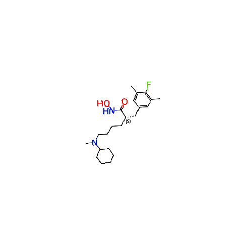 Cc1cc(C[C@H](CCCCN(C)C2CCCCC2)C(=O)NO)cc(C)c1F